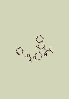 CN(C)c1nc2c(c(=O)n1Cc1ccccc1)CN(C(=O)OCc1ccccc1)CC2